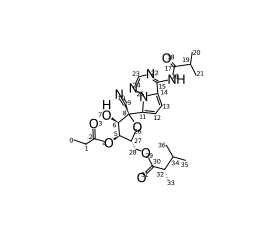 CCC(=O)O[C@H]1[C@@H](O)[C@](C#N)(c2ccc3c(NC(=O)C(C)C)ncnn23)O[C@@H]1COC(=O)[C@@H](C)C(C)C